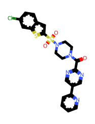 O=C(c1ncc(-c2ccccn2)cn1)N1CCN(S(=O)(=O)c2cc3ccc(Cl)cc3s2)CC1